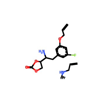 C=CCNCCC.C=CCOc1cc(F)cc(CC(N)C2COC(=O)O2)c1